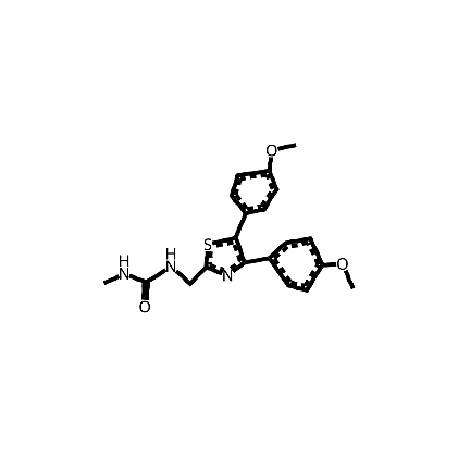 CNC(=O)NCc1nc(-c2ccc(OC)cc2)c(-c2ccc(OC)cc2)s1